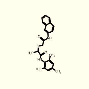 Cc1cc(C)c(NC(=O)C(C)SCC(=O)Nc2ccc3ccccc3c2)c(C)c1